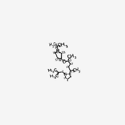 CC(C)CN1CCCC1[C@H](C)CCC(C)OC1CCN(C(C)C)C1